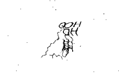 CC(C)CCCC(C)[C@H]1CC[C@H]2[C@@H]3CC=C4C[C@@H](O)CC[C@]4(C)[C@H]3CC[C@]12C.CCCCCCCCCCCCCCCC(=O)O